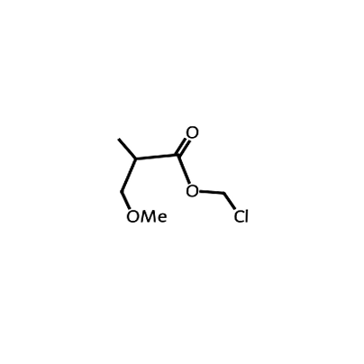 COCC(C)C(=O)OCCl